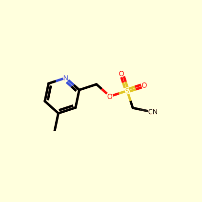 Cc1ccnc(COS(=O)(=O)CC#N)c1